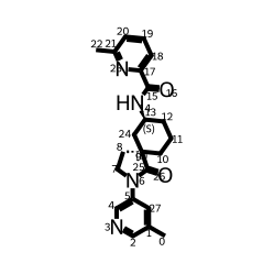 Cc1cncc(N2CC[C@]3(CCC[C@H](NC(=O)c4cccc(C)n4)C3)C2=O)c1